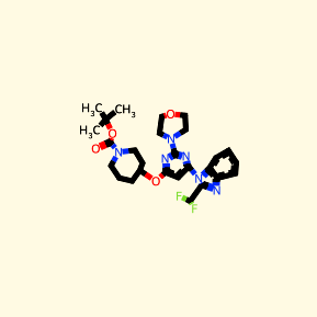 CC(C)(C)OC(=O)N1CCCC(Oc2cc(-n3c(C(F)F)nc4ccccc43)nc(N3CCOCC3)n2)CC1